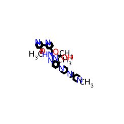 COc1ccncc1-c1cc(C(=O)Nc2nc3ccc(N4CCC(N5CC6(CCN(C)CC6)C5)CC4)cc3n2CC(C)(C)O)ccn1